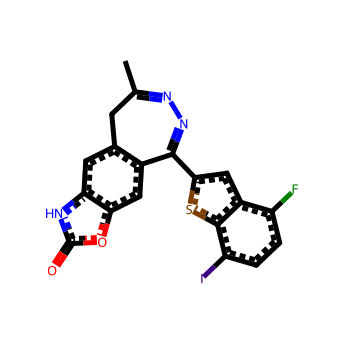 CC1=NN=C(c2cc3c(F)ccc(I)c3s2)c2cc3oc(=O)[nH]c3cc2C1